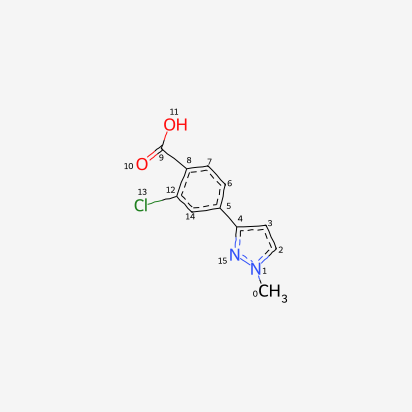 Cn1ccc(-c2ccc(C(=O)O)c(Cl)c2)n1